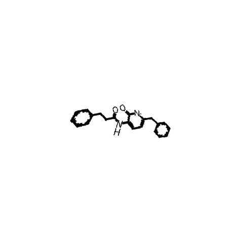 O=C(CCc1ccccc1)NC1=CC=C(Cc2ccccc2)[N]C1=O